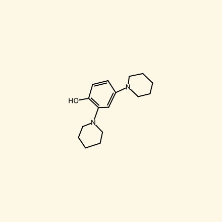 Oc1ccc(N2CCCCC2)cc1N1CCCCC1